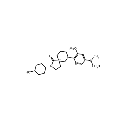 COc1cc(N(C)C(=O)O)cnc1N1CCC[C@]2(CCN([C@H]3CC[C@H](O)CC3)C2=O)C1